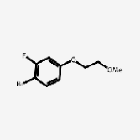 COCCOc1ccc(Br)c(F)c1